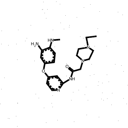 CCN1CCN(CC(=O)Nc2cc(Oc3ccc(NC)c(N)c3)ccn2)CC1